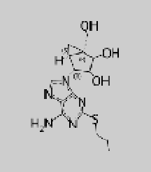 CCCSc1nc(N)c2ncn([C@H]3C(O)C(O)[C@]4(CO)C[C@H]34)c2n1